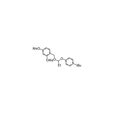 CCC(OCc1ccc(OC)cc1OC)Oc1ccc(C(C)CC)cc1